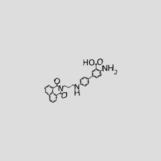 Nc1ccc(-c2ccc(NCCCN3C(=O)c4cccc5cccc(c45)C3=O)cc2)cc1C(=O)O